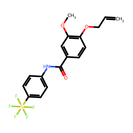 C=CCOc1ccc(C(=O)Nc2ccc(S(F)(F)(F)(F)F)cc2)cc1OC